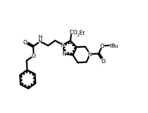 CCOC(=O)c1c2c(nn1CCNC(=O)OCc1ccccc1)CCN(C(=O)OC(C)(C)C)C2